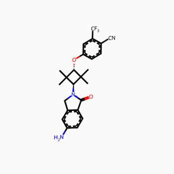 CC1(C)[C@H](Oc2ccc(C#N)c(C(F)(F)F)c2)C(C)(C)[C@H]1N1Cc2cc(N)ccc2C1=O